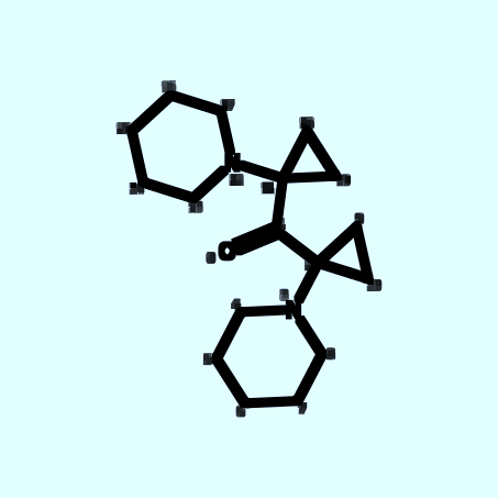 O=C(C1(N2CCCCC2)CC1)C1(N2CCCCC2)CC1